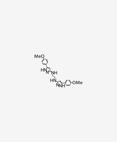 COc1ccc(-c2cc(NCCNc3cc(-c4ccc(OC)cc4)[nH]n3)n[nH]2)cc1